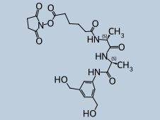 C[C@H](NC(=O)CCCCC(=O)ON1C(=O)CCC1=O)C(=O)N[C@@H](C)C(=O)Nc1cc(CO)cc(CO)c1